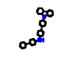 C1=CCC2C(=C1)N(c1ccc(-c3ccc(Nc4ccc(-c5ccccc5)cc4)cc3)cc1)c1ccccc12